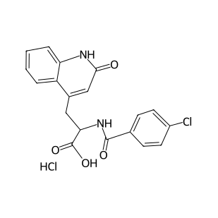 Cl.O=C(NC(Cc1cc(=O)[nH]c2ccccc12)C(=O)O)c1ccc(Cl)cc1